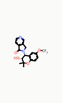 CC1(C)Oc2ccc(OC(F)(F)F)cc2[C@H](N2Cc3cnccc3C2=O)[C@H]1O